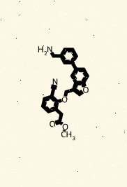 COC(=O)Cc1cccc(C#N)c1OCc1coc2ccc(-c3cccc(CN)c3)cc12